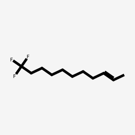 CC=CCCCCCCCC(F)(F)F